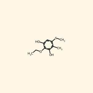 CCOc1c(O)cc(SC)c(C)c1O